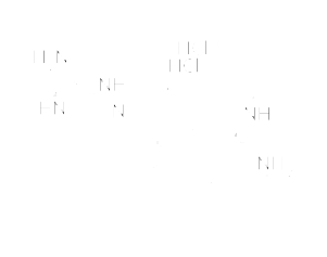 Cc1cc(C(=N)N)c2c(c1)C(=NNC(=N)N)CC2.Cl.Cl